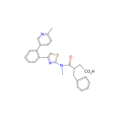 Cc1ccc(-c2ccccc2-c2csc(N(C)C(=O)C(CC(=O)O)Cc3ccccc3)n2)cn1